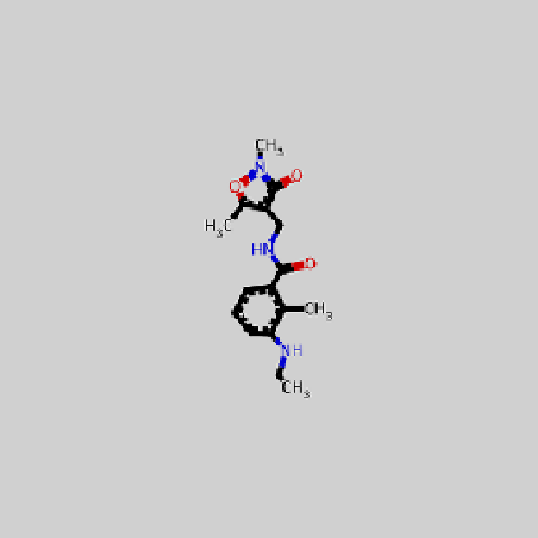 CCNc1cccc(C(=O)NCc2c(C)on(C)c2=O)c1C